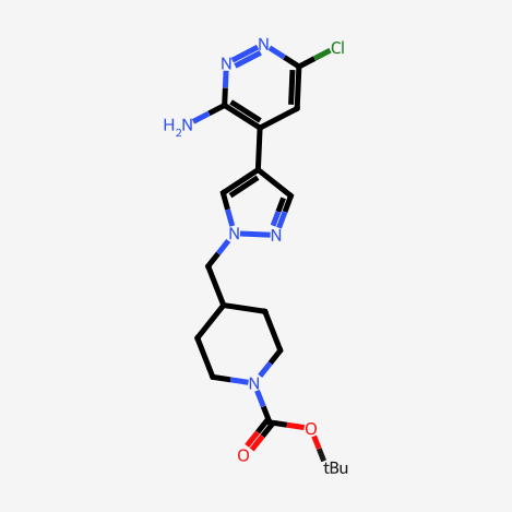 CC(C)(C)OC(=O)N1CCC(Cn2cc(-c3cc(Cl)nnc3N)cn2)CC1